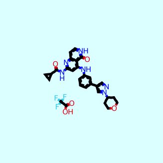 O=C(Nc1cc(Nc2cccc(-c3cnn(C4CCOCC4)c3)c2)c2c(=O)[nH]ccc2n1)C1CC1.O=C(O)C(F)(F)F